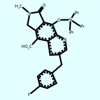 CC(C)[Si](Oc1c2c(c(C(=O)O)c3cc(Cc4ccc(F)cc4)cnc13)CN(C)C2=O)(C(C)C)C(C)C